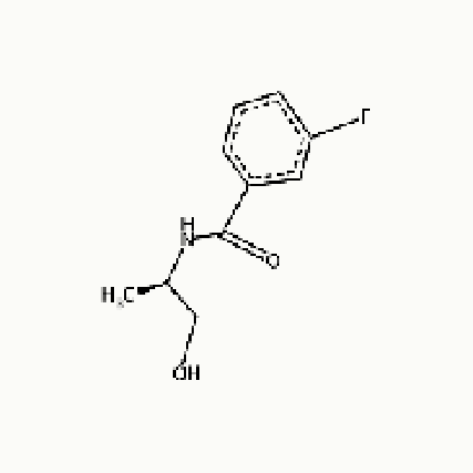 C[C@H](CO)NC(=O)c1cccc(F)c1